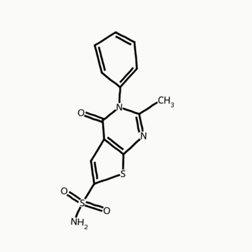 Cc1nc2sc(S(N)(=O)=O)cc2c(=O)n1-c1ccccc1